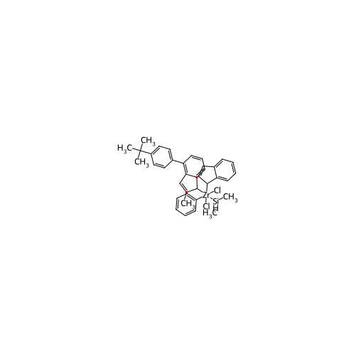 CC1=Cc2c(-c3ccc(C(C)(C)C)cc3)cccc2[CH]1[Zr]([Cl])([Cl])([c]1ccccc1)([CH]1C=Cc2ccccc21)[SiH](C)C